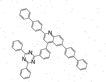 c1ccc(-c2ccc(-c3ccc4nc(-c5ccc(-c6ccccc6)cc5)cc(-c5cccc(-c6nc(-c7ccccc7)nc(-c7ccccc7)n6)c5)c4c3)cc2)cc1